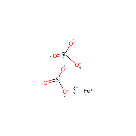 O=[Si]([O-])[O-].O=[Si]([O-])[O-].[Fe+3].[K+]